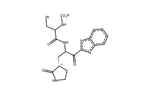 CC(C)CC(NC(=O)O)C(=O)NC(C[C@@H]1CCNC1=O)C(=O)c1nc2ccccc2s1